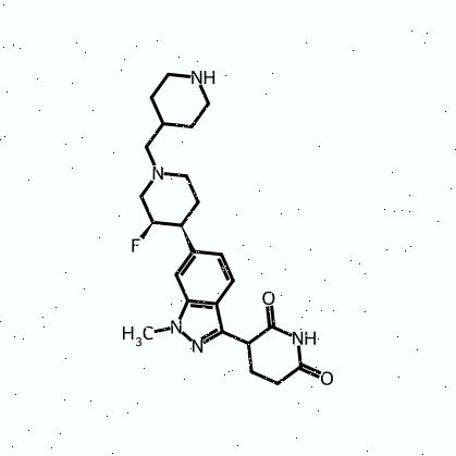 Cn1nc(C2CCC(=O)NC2=O)c2ccc([C@@H]3CCN(CC4CCNCC4)C[C@@H]3F)cc21